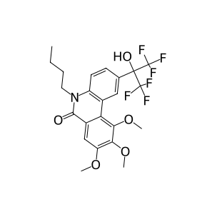 CCCCn1c(=O)c2cc(OC)c(OC)c(OC)c2c2cc(C(O)(C(F)(F)F)C(F)(F)F)ccc21